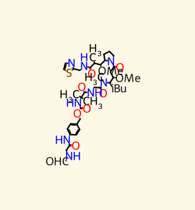 CCC(C)C(C(CC(=O)N1CCCC1C(OC)C(C)C(=O)NCc1nccs1)OC)N(C)C(=O)CNC(=O)C(C)(C)NC(=O)OCc1ccc(NC(=O)CNC=O)cc1